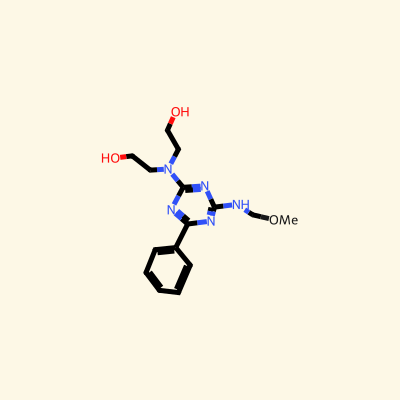 COCNc1nc(-c2ccccc2)nc(N(CCO)CCO)n1